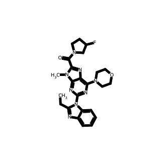 CCc1nc2ccccc2n1-c1nc(N2CCOCC2)c2nc(C(=O)N3CCC(F)C3)n(C)c2n1